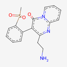 CS(=O)(=O)c1ccccc1-c1c(CCN)nc2ccccn2c1=O